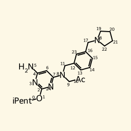 CCCC(C)Oc1nc(N)cc(N(CC(C)=O)Cc2cccc(CN3CCCC3)c2)n1